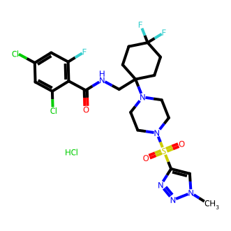 Cl.Cn1cc(S(=O)(=O)N2CCN(C3(CNC(=O)c4c(F)cc(Cl)cc4Cl)CCC(F)(F)CC3)CC2)nn1